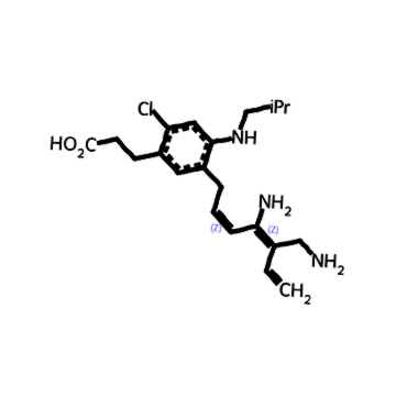 C=C/C(CN)=C(N)\C=C/Cc1cc(CCC(=O)O)c(Cl)cc1NCC(C)C